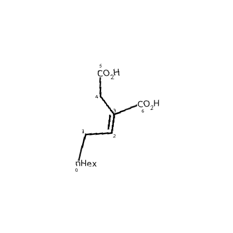 CCCCCCCC=C(CC(=O)O)C(=O)O